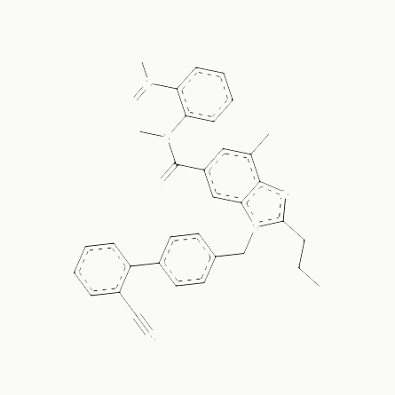 CCCc1nc2c(C)cc(C(=O)N(C)c3ccccc3[N+](=O)[O-])cc2n1Cc1ccc(-c2ccccc2C#N)cc1